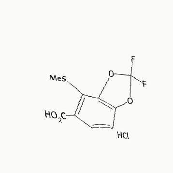 CSc1c(C(=O)O)ccc2c1OC(F)(F)O2.Cl